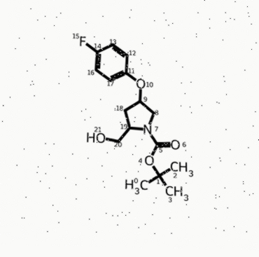 CC(C)(C)OC(=O)N1CC(Oc2ccc(F)cc2)CC1CO